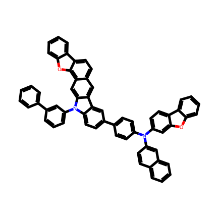 c1ccc(-c2cccc(-n3c4ccc(-c5ccc(N(c6ccc7ccccc7c6)c6ccc7c(c6)oc6ccccc67)cc5)cc4c4cc5ccc6c7ccccc7oc6c5cc43)c2)cc1